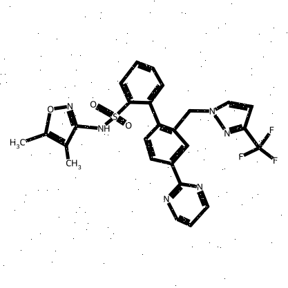 Cc1onc(NS(=O)(=O)c2ccccc2-c2ccc(-c3ncccn3)cc2Cn2ccc(C(F)(F)F)n2)c1C